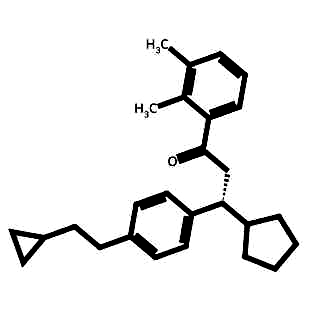 Cc1cccc(C(=O)C[C@@H](c2ccc(CCC3CC3)cc2)C2CCCC2)c1C